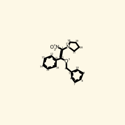 O=[N+]([O-])C(=C(OCc1ccccc1)c1ccccc1)N1CCCC1